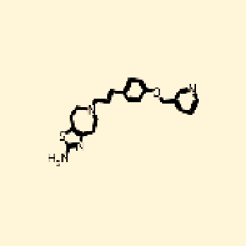 Nc1nc2c(s1)CCN(CC=Cc1ccc(OCc3cccnc3)cc1)CC2